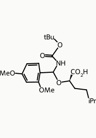 COc1ccc(C(NC(=O)OC(C)(C)C)O[C@H](CCC(C)C)C(=O)O)c(OC)c1